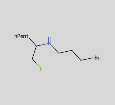 CCCCCC(CF)NCCCC(C)CC